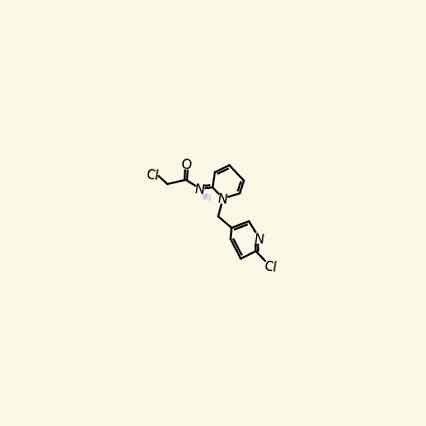 O=C(CCl)/N=c1\ccccn1Cc1ccc(Cl)nc1